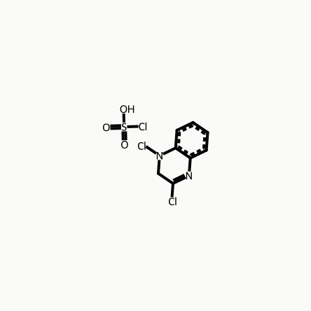 ClC1=Nc2ccccc2N(Cl)C1.O=S(=O)(O)Cl